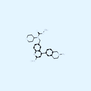 CC(=O)N1CCc2cc(-c3cc(C=O)nc4ccc(CN(C(=O)OC(C)(C)C)C5CCOCC5)cc34)ccc2C1